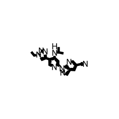 CCn1cc(-c2cnc(-n3ncc4cc(C#N)cnc43)cc2NC(C)C)nn1